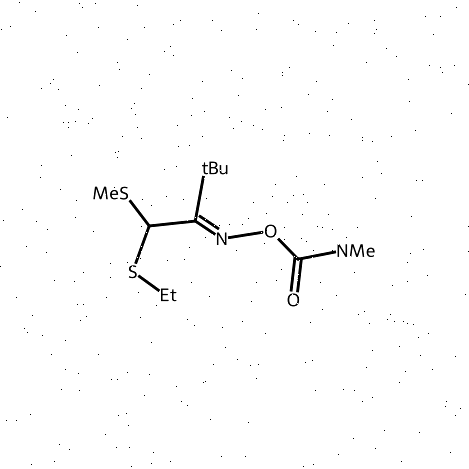 CCSC(SC)C(=NOC(=O)NC)C(C)(C)C